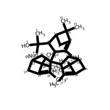 CCCCCCCCCC(C)(O)C1C2CC(=C(C)C1C1(C3CC4CC(=C3C)C4(C)C)CC3CC(=C1C)C3(C)C)C2(C)C